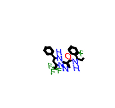 CCC(NC(=O)c1cnn2c1NC(c1ccccc1)CC2C(F)(F)F)c1ccccc1F